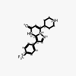 O=c1cc(C2CCNCC2)n2ncc(-c3ccc(C(F)(F)F)cc3)c2[nH]1